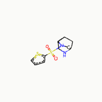 O=S(=O)(c1cccs1)N1CC2CCC1CN2